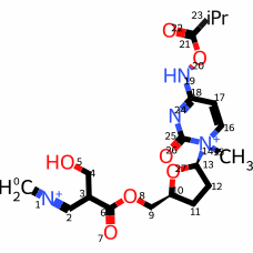 C=[N+]=CC(CO)C(=O)OC[C@@H]1CC[C@H]([N+]2(C)C=CC(NOC(=O)C(C)C)=NC2=O)O1